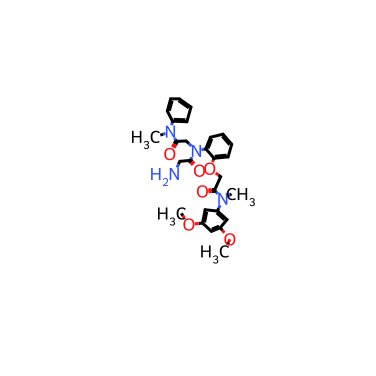 COc1cc(OC)cc(N(C)C(=O)COc2ccccc2N(CC(=O)N(C)c2ccccc2)C(=O)CN)c1